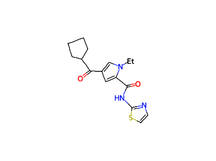 CCn1cc(C(=O)C2CCCC2)cc1C(=O)Nc1nccs1